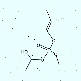 CC=COP(=O)(OC)OC(C)O